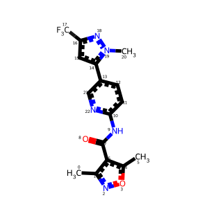 Cc1noc(C)c1C(=O)Nc1ccc(-c2cc(C(F)(F)F)nn2C)cn1